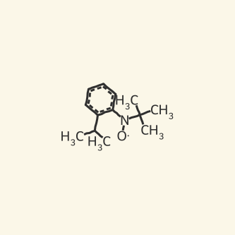 CC(C)c1ccccc1N([O])C(C)(C)C